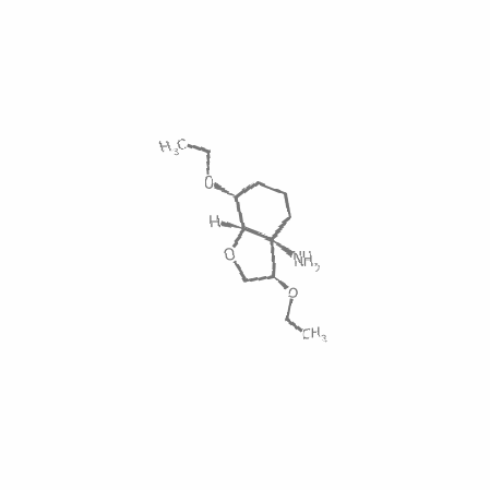 CCO[C@H]1CCC[C@]2(N)[C@@H](OCC)CO[C@H]12